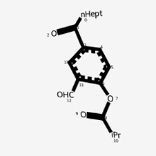 CCCCCCCC(=O)c1ccc(OC(=O)C(C)C)c(C=O)c1